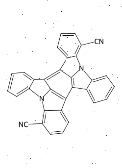 N#Cc1cccc2c3c4c5ccccc5n5c6c(C#N)cccc6c(c6c7ccccc7n(c12)c63)c45